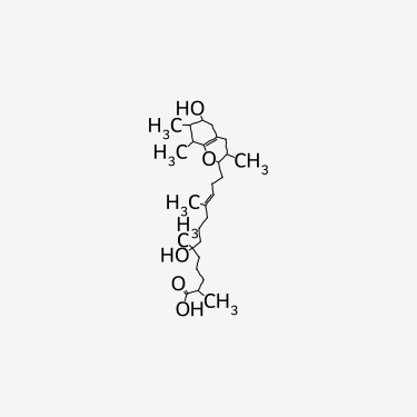 C/C(=C\CCC1OC2=C(CC1C)CC(O)C(C)C2C)CCCC(C)(O)CCCC(C)C(=O)O